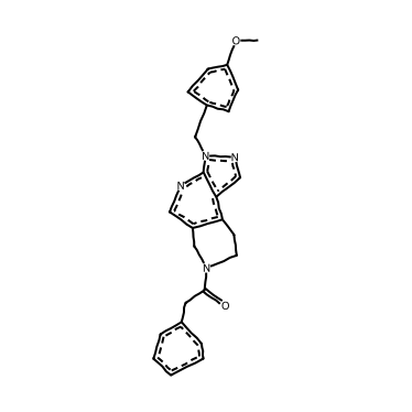 COc1ccc(Cn2ncc3c4c(cnc32)CN(C(=O)Cc2ccccc2)CC4)cc1